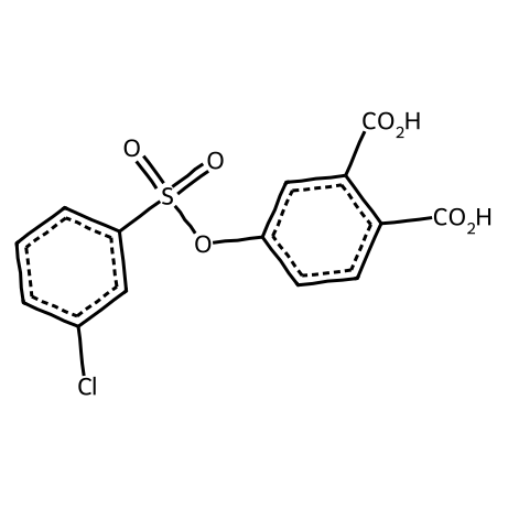 O=C(O)c1ccc(OS(=O)(=O)c2cccc(Cl)c2)cc1C(=O)O